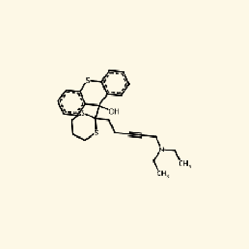 CCN(CC)CC#CCCC1(C2(O)c3ccccc3Sc3ccccc32)SCCCS1